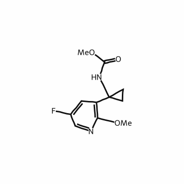 COC(=O)NC1(c2cc(F)cnc2OC)CC1